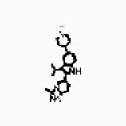 Cc1nnc2ccc(-c3[nH]c4ccc(C5CCNCC5)cc4c3C(C)C)cn12